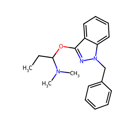 CCC(Oc1nn(Cc2ccccc2)c2ccccc12)N(C)C